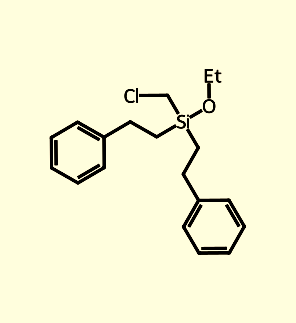 CCO[Si](CCl)(CCc1ccccc1)CCc1ccccc1